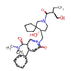 CN(C)C(=O)c1cn(C[C@]2(O)CCN(C(=O)C(CO)CC(F)(F)F)CC23CCCC3)c(=O)cc1-c1ccccc1